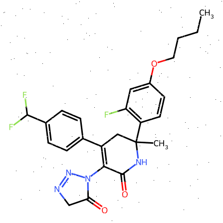 CCCCOc1ccc(C2(C)CC(c3ccc(C(F)F)cc3)=C(N3N=NCC3=O)C(=O)N2)c(F)c1